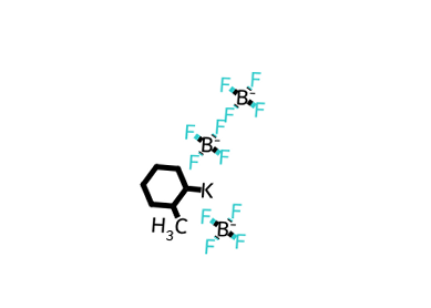 CC1CCCC[CH]1[K].F[B-](F)(F)F.F[B-](F)(F)F.F[B-](F)(F)F